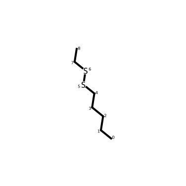 CCCCCSSCC